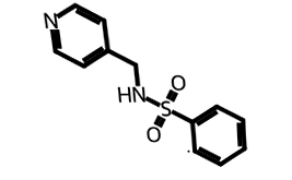 O=S(=O)(NCc1ccncc1)c1[c]cccc1